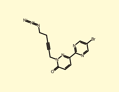 [N-]=[N+]=NCCC#CCn1nc(-c2ncc(Br)cn2)ccc1=O